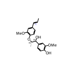 C/C=C/c1ccc(O[C@@H](C)[C@@H](O)c2ccc(O)c(OC)c2)c(OC)c1